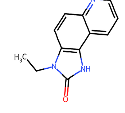 CCn1c(=O)[nH]c2c3cccnc3ccc21